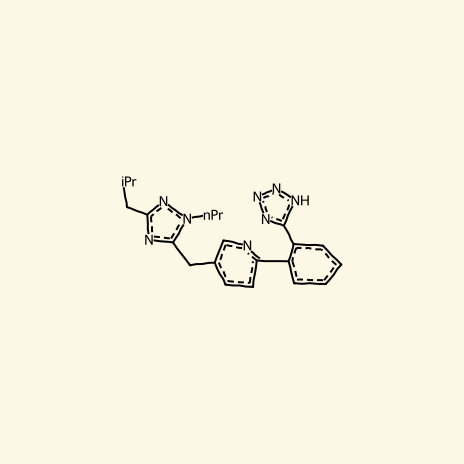 CCCn1nc(CC(C)C)nc1Cc1ccc(-c2ccccc2-c2nnn[nH]2)nc1